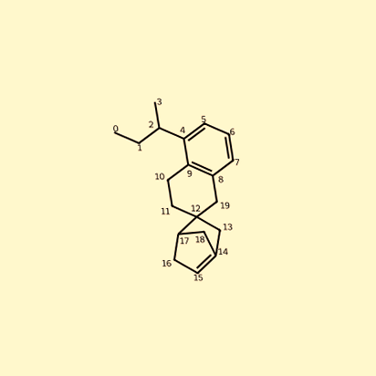 CCC(C)c1cccc2c1CCC1(CC3=CCC1C3)C2